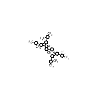 N#Cc1ccc(-n2c3ccc(-c4ccc(C(F)(F)F)cc4C(F)(F)F)cc3c3cc(-c4ccc(C(F)(F)F)cc4C(F)(F)F)ccc32)cc1-c1cc(-n2c3ccc(-c4ccc(C(F)(F)F)cc4C(F)(F)F)cc3c3cc(-c4ccc(C(F)(F)F)cc4C(F)(F)F)ccc32)ccc1C#N